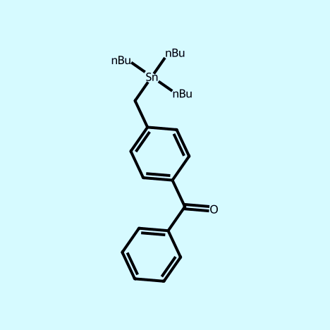 CCC[CH2][Sn]([CH2]CCC)([CH2]CCC)[CH2]c1ccc(C(=O)c2ccccc2)cc1